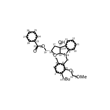 CCCCc1ccc(C)c(CN2c3ccccc3[C@]3(O)C[C@@H](COC(=O)c4ccccc4)OC23)c1OCOC